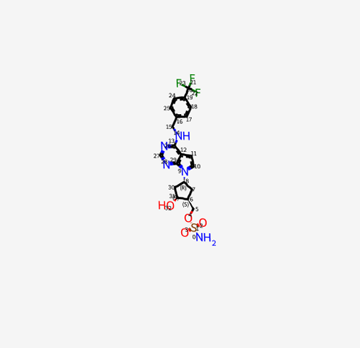 NS(=O)(=O)OC[C@@H]1C[C@@H](n2ccc3c(NCc4ccc(C(F)(F)F)cc4)ncnc32)C[C@@H]1O